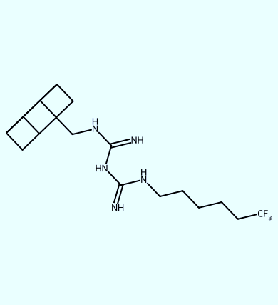 N=C(NCCCCCC(F)(F)F)NC(=N)NCC12CC3C4CC1C4C32